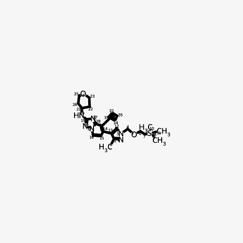 Cc1nn(COCC[Si](C)(C)C)cc1-c1ccn2nc(NC3CCOCC3)nc2c1N1CC2CC1C2